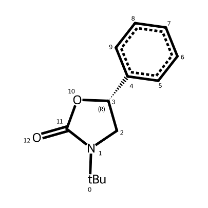 CC(C)(C)N1C[C@@H](c2ccccc2)OC1=O